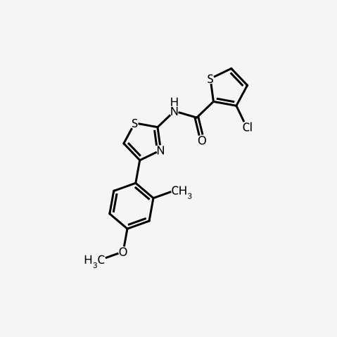 COc1ccc(-c2csc(NC(=O)c3sccc3Cl)n2)c(C)c1